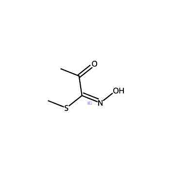 CS/C(=N/O)C(C)=O